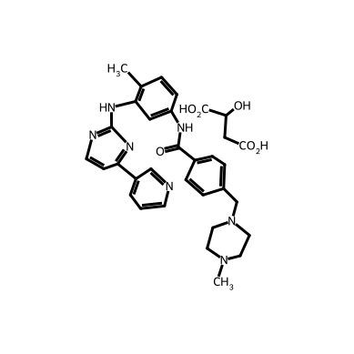 Cc1ccc(NC(=O)c2ccc(CN3CCN(C)CC3)cc2)cc1Nc1nccc(-c2cccnc2)n1.O=C(O)CC(O)C(=O)O